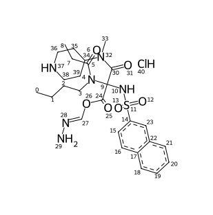 CCCCN(C(=O)CC)C(NS(=O)(=O)c1ccc2ccccc2c1)(C(=O)OC=NN)C(=O)N(C)C1CCNCC1.Cl